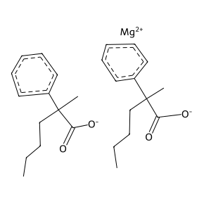 CCCCC(C)(C(=O)[O-])c1ccccc1.CCCCC(C)(C(=O)[O-])c1ccccc1.[Mg+2]